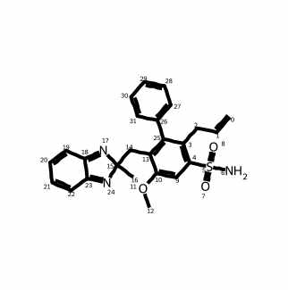 C=CCc1c(S(N)(=O)=O)cc(OC)c(CC2(C)N=c3ccccc3=N2)c1-c1ccccc1